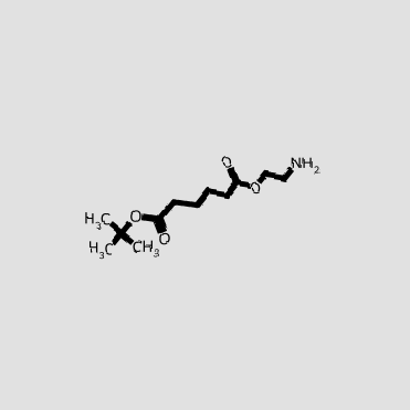 CC(C)(C)OC(=O)CCCCC(=O)OCCN